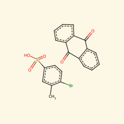 Cc1cc(S(=O)(=O)O)ccc1Br.O=C1c2ccccc2C(=O)c2ccccc21